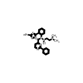 CCCc1nnc(-c2ccccc2N(C(=O)c2ccnc(-c3ccccc3)n2)N(CC)CCN(C)C)s1